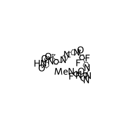 CNc1cc(=O)n(-c2ccnc3c2cc(CN2CCC(c4c(F)cc(C(=O)N5CCC(CN6CCN(Cc7ccc8c(c7)C7(CC7)C(=O)N8[C@@H]7CCC(=O)NC7=O)C[C@@H]6C)CC5)cc4F)CC2)n3C)cc1F